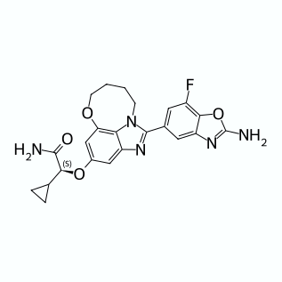 NC(=O)[C@@H](Oc1cc2c3c(c1)nc(-c1cc(F)c4oc(N)nc4c1)n3CCCCO2)C1CC1